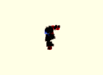 COCCOc1ccc2c(N(Cc3ccc(-c4ccc(OC)c(C)c4)cc3)C(=O)CC(C)(C)C)nccc2c1